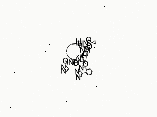 Cn1ccc(C(=O)N[C@H]2CCCCCC=C[C@@H]3C[C@@]3(C(=O)NS(=O)(=O)C3CC3)NC(=O)[C@@H]3C[C@@H](Oc4nc5ncncc5c5ccccc45)CN3C2=O)n1